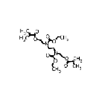 C=C(C)C(=O)OCCN(CCN(CCOC(=O)C(=C)C)C(=O)OCC)C(=O)OCC